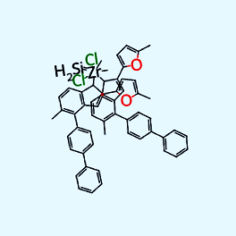 Cc1ccc(C2=Cc3c(ccc(C)c3-c3ccc(-c4ccccc4)cc3)[CH]2[Zr]([CH3])([CH3])(=[SiH2])([Cl])([Cl])[CH]2C(c3ccc(C)o3)=Cc3c2ccc(C)c3-c2ccc(-c3ccccc3)cc2)o1